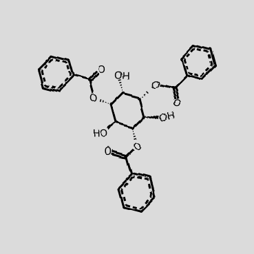 O=C(O[C@H]1[C@H](O)[C@@H](OC(=O)c2ccccc2)[C@H](O)[C@@H](OC(=O)c2ccccc2)[C@H]1O)c1ccccc1